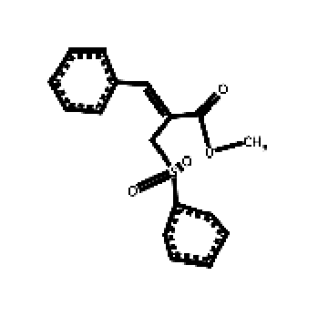 COC(=O)C(=Cc1ccccc1)CS(=O)(=O)c1ccccc1